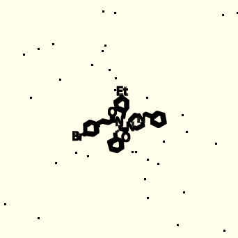 CCc1ccc(CN(C(=O)C=Cc2ccc(Br)cc2)[C@@H](Cc2ccccc2)C(=O)N2CCN(Cc3ccccc3)CC2)cc1